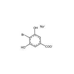 O=C([O-])c1cc(O)c(Br)c(O)c1.[Na+]